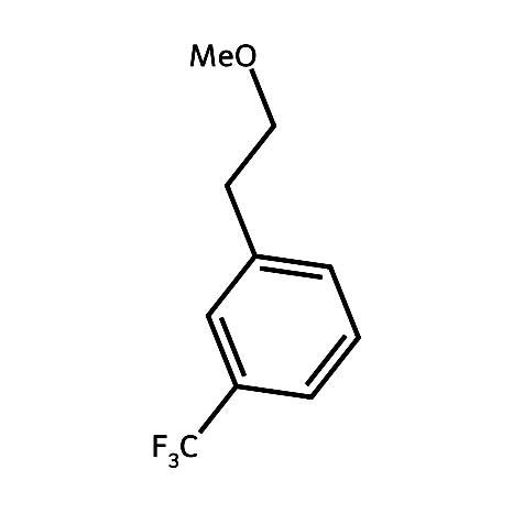 COCCc1cccc(C(F)(F)F)c1